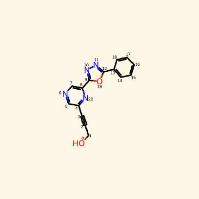 OCC#Cc1cncc(-c2nnc(-c3ccccc3)o2)n1